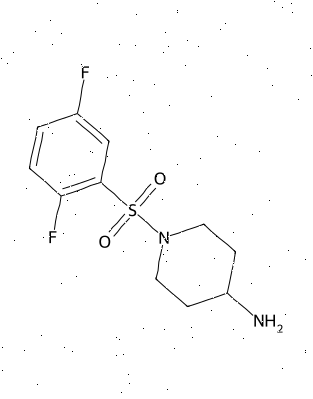 NC1CCN(S(=O)(=O)c2cc(F)ccc2F)CC1